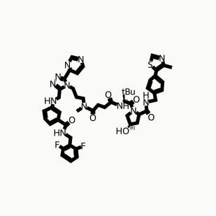 Cc1ncsc1-c1ccc(CNC(=O)C2C[C@@H](O)CN2C(=O)[C@@H](NC(=O)CCC(=O)N(C)CCCn2c(CNc3cccc(C(=O)NCc4c(F)cccc4F)c3)nnc2-c2ccncn2)C(C)(C)C)cc1